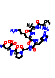 C[C@H](N)C(=O)N[C@@H](C)C(=O)N[C@@H](CCCCN)C(=O)N[C@@H](Cc1c[nH]cn1)C(=O)NCC(=O)N1CCC[C@H]1C(=O)N[C@@H](CC(N)=O)C(=O)O